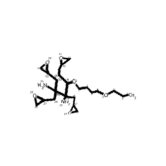 CCCOCCCCOC(CC1CO1)C(N)(CC1CO1)C(N)(CC1CO1)CC1CO1